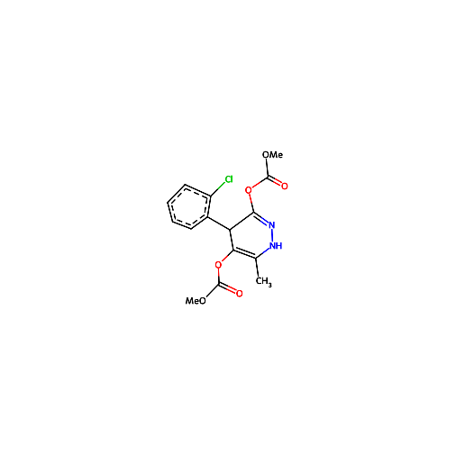 COC(=O)OC1=NNC(C)=C(OC(=O)OC)C1c1ccccc1Cl